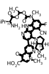 CC(OC(=O)[C@@H](N)C(C)C)OC(=O)N(C)c1cc(F)c(C#N)c2c1[nH]c1ncc(-c3cnc4c(c3)c(=O)c(C(=O)O)cn4C)c(N3CC[C@H]4CN(C)C[C@H]43)c12